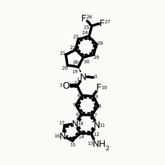 CN(C(=O)c1cc2c(cc1F)nc(N)c1cncn12)[C@@H]1CCc2cc(C(F)F)ccc21